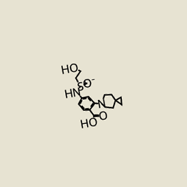 O=C(O)c1ccc(N[S+]([O-])CCO)cc1N1CCC2(CC1)CC2